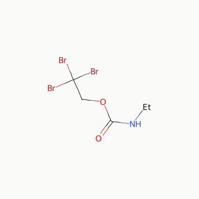 CCNC(=O)OCC(Br)(Br)Br